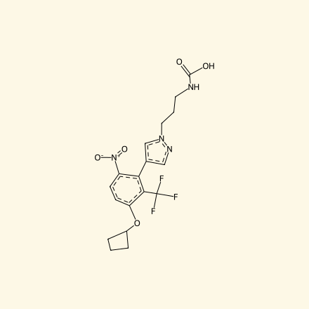 O=C(O)NCCCn1cc(-c2c([N+](=O)[O-])ccc(OC3CCC3)c2C(F)(F)F)cn1